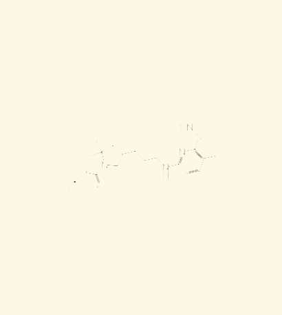 Cc1ccc(NCCCC2CN(C(=O)OC(C)(C)C)C(C)(C)C2)nc1SN